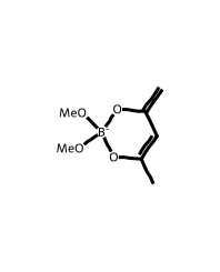 C=C1C=C(C)O[B-](OC)(OC)O1